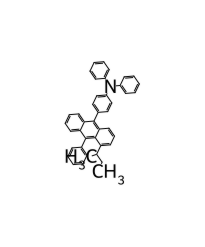 CCC(C)c1cccc2c(-c3ccc(N(c4ccccc4)c4ccccc4)cc3)c3ccccc3c(-c3ccccc3)c12